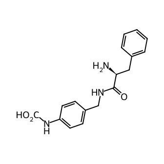 N[C@@H](Cc1ccccc1)C(=O)NCc1ccc(NC(=O)O)cc1